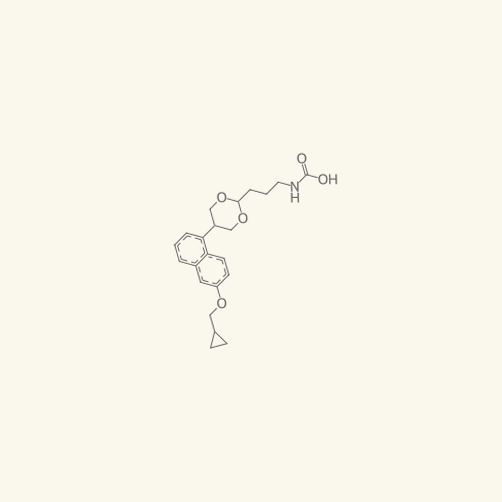 O=C(O)NCCCC1OCC(c2cccc3cc(OCC4CC4)ccc23)CO1